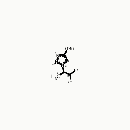 CC(C(F)F)n1cc(C(C)(C)C)nn1